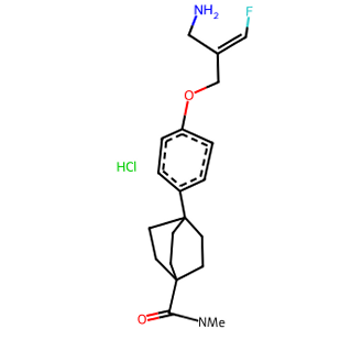 CNC(=O)C12CCC(c3ccc(OC/C(=C/F)CN)cc3)(CC1)CC2.Cl